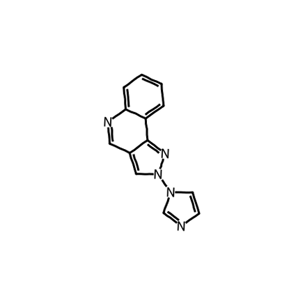 c1ccc2c(c1)ncc1cn(-n3ccnc3)nc12